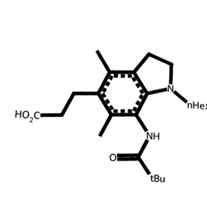 CCCCCCN1CCc2c(C)c(CCC(=O)O)c(C)c(NC(=O)C(C)(C)C)c21